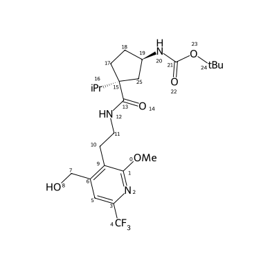 COc1nc(C(F)(F)F)cc(CO)c1CCNC(=O)[C@@]1(C(C)C)CC[C@@H](NC(=O)OC(C)(C)C)C1